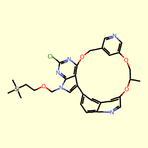 CC1COc2cncc(c2)COc2nc(Cl)nc3c2c(cn3COCC[Si](C)(C)C)-c2ccc3ncc(cc3c2)O1